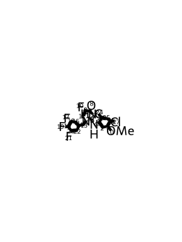 COc1cc(Nc2nc(=O)c(F)cn2Cc2cc(F)c(F)c(F)c2)c(C)cc1Cl